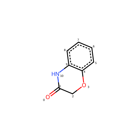 O=C1COc2ccc[c]c2N1